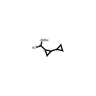 CNC(C(C)=O)C1CC1C1CC1